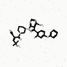 CC(C)(N)/C=C(/C#N)C(=O)N1CCC[C@H](n2nc(-c3ccc(Oc4ccccc4)cc3F)c3c(N)ncnc32)C1